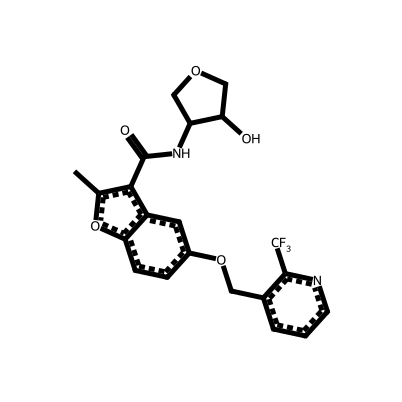 Cc1oc2ccc(OCc3cccnc3C(F)(F)F)cc2c1C(=O)NC1COCC1O